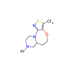 CC(C)N1CCN2c3nsc(C(F)(F)F)c3OCCC2C1